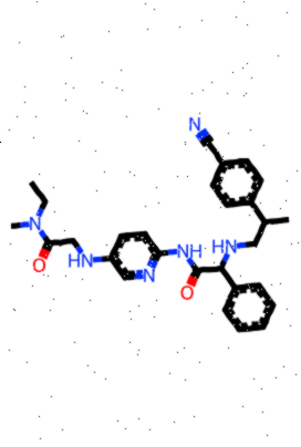 CCN(C)C(=O)CNc1ccc(NC(=O)C(NCC(C)c2ccc(C#N)cc2)c2ccccc2)nc1